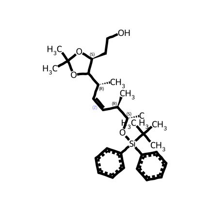 C[C@H](/C=C\[C@@H](C)[C@H](C)O[Si](c1ccccc1)(c1ccccc1)C(C)(C)C)C1OC(C)(C)O[C@H]1CCO